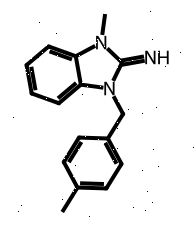 Cc1ccc(Cn2c(=N)n(C)c3ccccc32)cc1